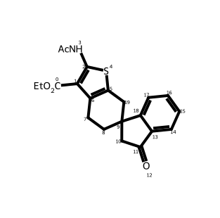 CCOC(=O)c1c(NC(C)=O)sc2c1CCC1(CC(=O)c3ccccc31)C2